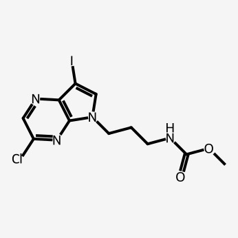 COC(=O)NCCCn1cc(I)c2ncc(Cl)nc21